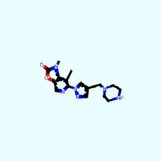 Cc1c(-n2cc(CN3CCNCC3)cn2)ncc2oc(=O)n(C)c12